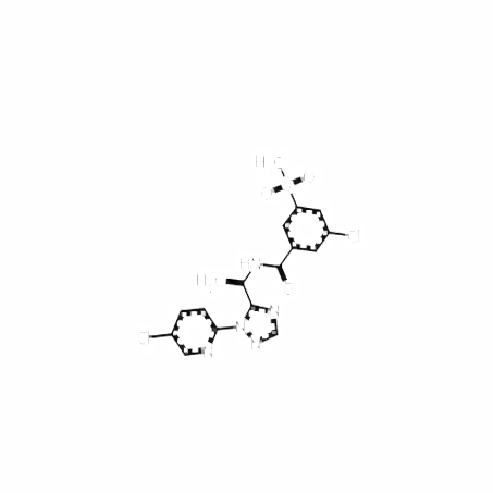 C=C(NC(=O)c1cc(Cl)cc(S(C)(=O)=O)c1)c1ncnn1-c1ccc(Cl)cn1